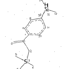 C=C(C[Si](C)(C)C)c1ccc([SiH](C)C)cc1